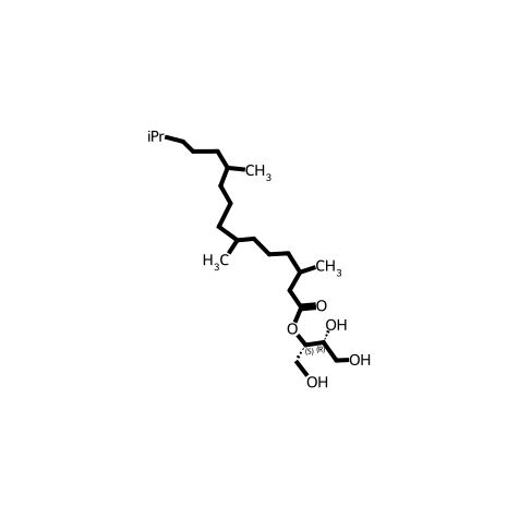 CC(C)CCCC(C)CCCC(C)CCCC(C)CC(=O)O[C@@H](CO)[C@H](O)CO